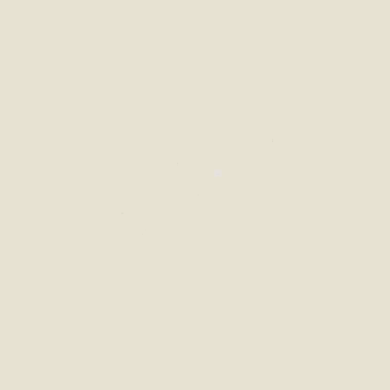 CO/C=C/c1cccc(B(O)O)c1OC